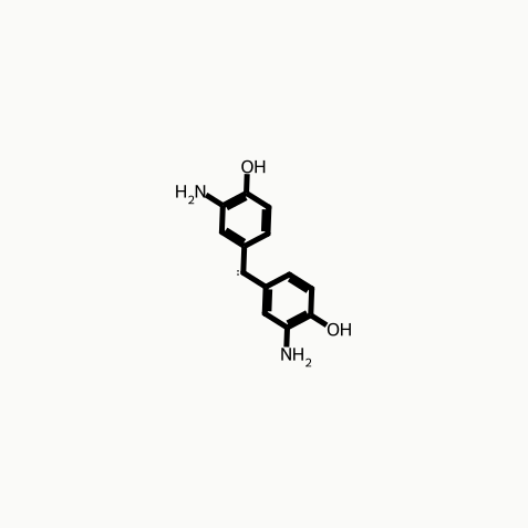 Nc1cc([C]c2ccc(O)c(N)c2)ccc1O